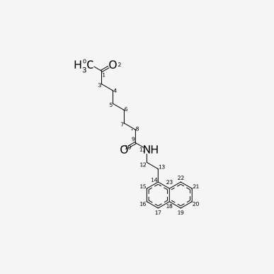 CC(=O)CCCCC[CH]C(=O)NCCc1cccc2ccccc12